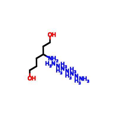 N.N.N.N.N.N.N.NC(CCO)CCCO